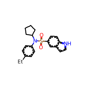 CCc1ccc(N(C2CCCC2)S(=O)(=O)c2ccc3[nH]ccc3c2)cc1